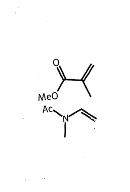 C=C(C)C(=O)OC.C=CN(C)C(C)=O